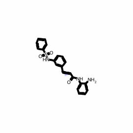 Nc1ccccc1NC(=O)/C=C/c1cccc(NS(=O)(=O)c2ccccc2)c1